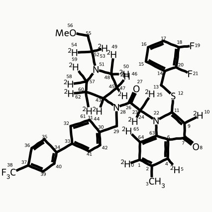 [2H]c1c(C)c([2H])c2c(=O)c([2H])c(SCc3cccc(F)c3F)n(C([2H])([2H])C(=O)N(Cc3ccc(-c4ccc(C(F)(F)F)cc4)cc3)C3([2H])C([2H])([2H])C([2H])([2H])N(C([2H])([2H])COC)C([2H])([2H])C3([2H])[2H])c2c1[2H]